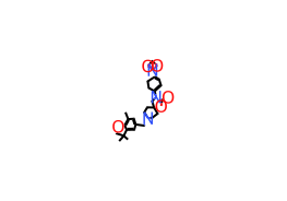 Cc1cc(CN2CCC3(CC2)CN(C2=CC=C(N4OCO4)CC2)C(=O)O3)cc2c1OCC2(C)C